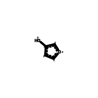 Oc1ccoc1